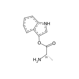 C[C@H](N)C(=O)Oc1c[nH]c2ccccc12